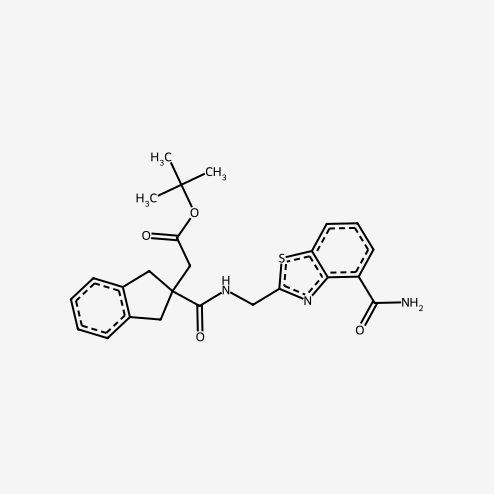 CC(C)(C)OC(=O)CC1(C(=O)NCc2nc3c(C(N)=O)cccc3s2)Cc2ccccc2C1